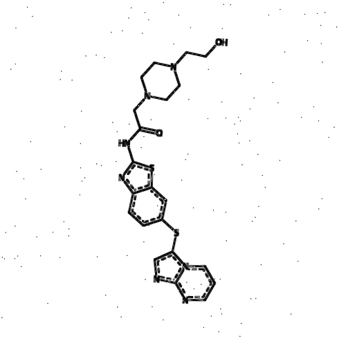 O=C(CN1CCN(CCO)CC1)Nc1nc2ccc(Sc3cnc4ncccn34)cc2s1